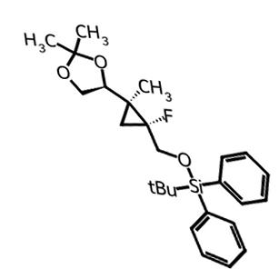 CC1(C)OC[C@H]([C@]2(C)C[C@]2(F)CO[Si](c2ccccc2)(c2ccccc2)C(C)(C)C)O1